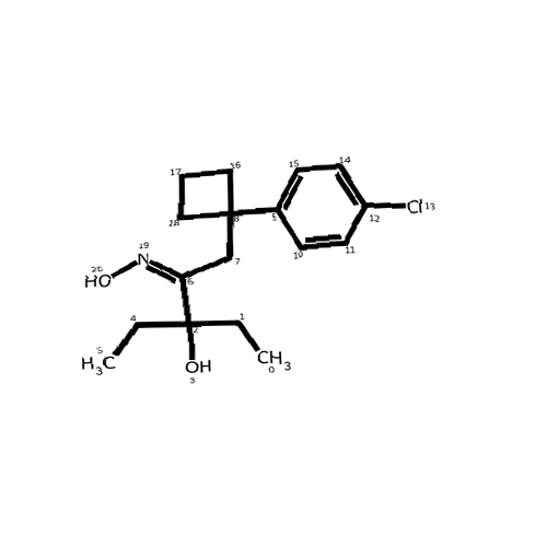 CCC(O)(CC)C(CC1(c2ccc(Cl)cc2)CCC1)=NO